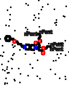 CCCCCC(CCCCC)CCOC(=O)CC(CC(=O)OCCC(CCCCC)CCCCC)N1CCC2(CCN(CCCCOCc3ccccc3)CC2)CC1